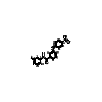 Cc1cc(NC(=O)c2cccc(Sc3ccc([N+](=O)[O-])cc3)c2)ccn1